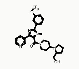 Cn1c(-c2cccc(OC(F)(F)F)c2)nc(-c2cccnc2)c1C(=O)N1CCC(N2CCCC2CO)CC1